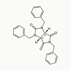 O=C1[C@@H]2[C@H](C(=O)N1Cc1ccccc1)N(Cc1ccccc1)C(=O)N2Cc1ccccc1